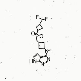 CN(c1ncnc2[nH]ccc12)C1CC(CS(=O)(=O)C2CC(C(F)F)C2)C1